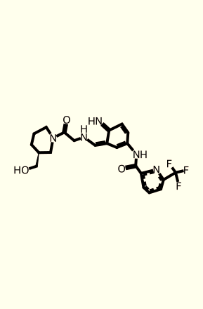 N=C1C=CC(NC(=O)c2cccc(C(F)(F)F)n2)=C/C1=C/NCC(=O)N1CCC[C@H](CO)C1